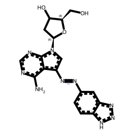 Nc1ncnc2c1c(/N=N/c1ccc3[nH]nnc3c1)cn2[C@H]1CC(O)[C@@H](CO)O1